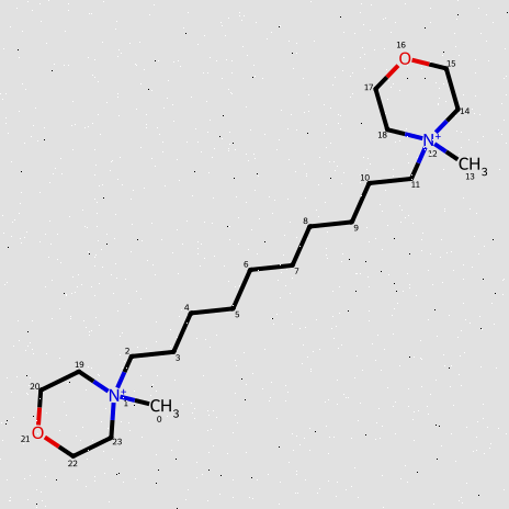 C[N+]1(CCCCCCCCCC[N+]2(C)CCOCC2)CCOCC1